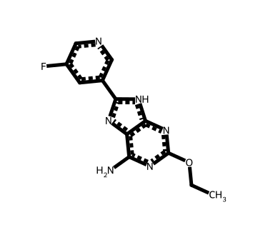 CCOc1nc(N)c2nc(-c3cncc(F)c3)[nH]c2n1